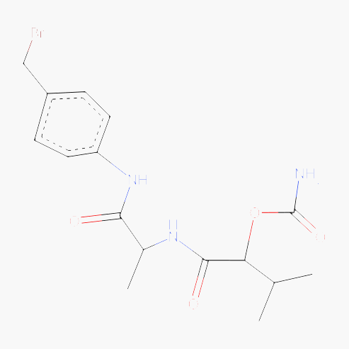 CC(NC(=O)C(OC(N)=O)C(C)C)C(=O)Nc1ccc(CBr)cc1